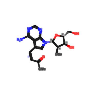 COC(=O)/C=C\c1cn([C@@H]2O[C@H](CO)[C@@H](O)[C@H]2OC)c2ncnc(N)c12